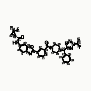 O=C(Nc1ccc2nc(-c3ccnc(C(=O)N4CCN(C(c5ccccc5)c5nnn(C(F)F)n5)CC4)c3)oc2c1)[C@@H]1CC1(F)F